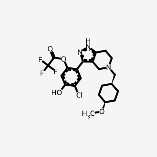 CO[C@H]1CC[C@@H](CN2CCc3[nH]nc(-c4cc(Cl)c(O)cc4OC(=O)C(F)(F)F)c3C2)CC1